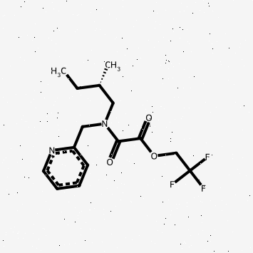 CC[C@H](C)CN(Cc1ccccn1)C(=O)C(=O)OCC(F)(F)F